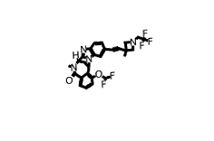 CN1C(=O)c2cccc(OC(F)F)c2C2C[C@@H]1c1nc3ccc(C#CC4(C)CN(CC(F)(F)F)C4)cc3n12